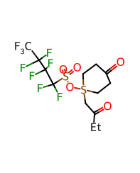 CCC(=O)CS1(OS(=O)(=O)C(F)(F)C(F)(F)C(F)(F)C(F)(F)F)CCC(=O)CC1